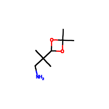 CC1(C)OC(C(C)(C)CN)O1